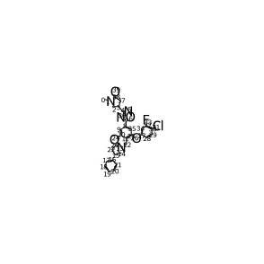 CN1CC(c2noc(-c3ccc(CN4C[C@H](c5ccccc5)CC4=O)c(Oc4ccc(Cl)c(F)c4)c3)n2)CC1=O